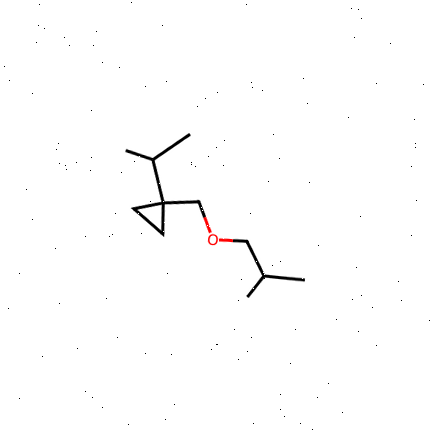 CC(C)COCC1(C(C)C)CC1